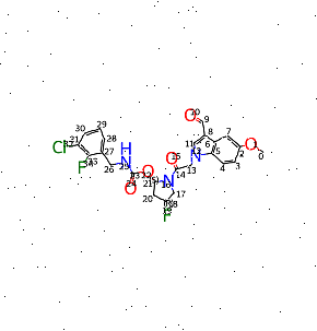 COc1ccc2c(c1)c(C=O)cn2CC(=O)N1C[C@H](F)C[C@@H]1OC(=O)NCc1cccc(Cl)c1F